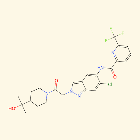 CC(C)(O)C1CCN(C(=O)Cn2cc3cc(NC(=O)c4cccc(C(F)(F)F)n4)c(Cl)cc3n2)CC1